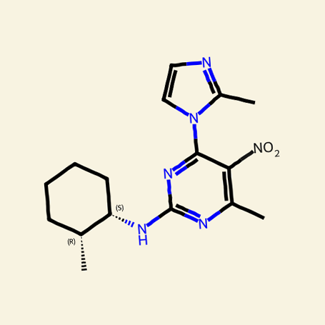 Cc1nc(N[C@H]2CCCC[C@H]2C)nc(-n2ccnc2C)c1[N+](=O)[O-]